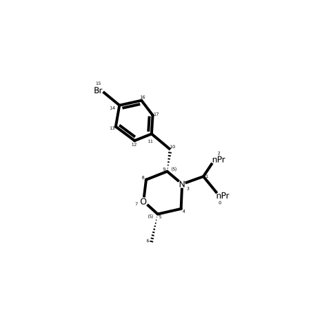 CCCC(CCC)N1C[C@H](C)OC[C@@H]1Cc1ccc(Br)cc1